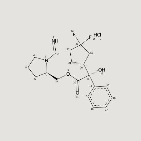 Cl.N=CN1CCC[C@@H]1COC(=O)[C@](O)(c1ccccc1)[C@@H]1CCC(F)(F)C1